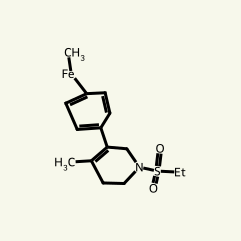 CCS(=O)(=O)N1CCC(C)=C(c2cc[c]([Fe][CH3])cc2)C1